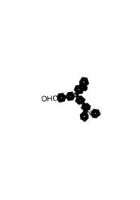 CC1(C)c2ccccc2-c2ccc(N(c3ccc(-c4ccc(C=O)cc4)cc3)c3ccc(-c4ccc5c(c4)c4ccccc4n5-c4ccccc4)cc3)cc21